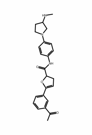 CNC1CCN(c2ccc(NC(=O)C3CC=C(c4cccc(C(C)=O)c4)O3)cc2)C1